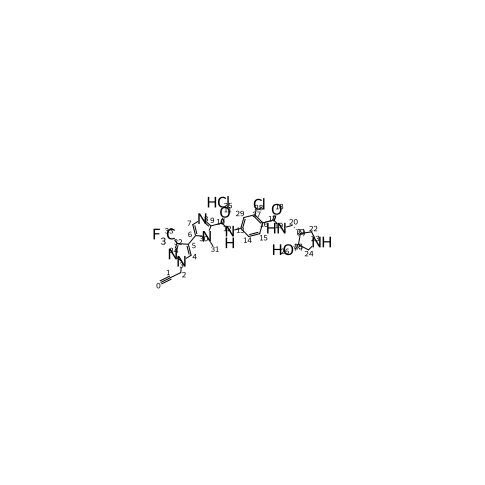 C#CCn1cc(-c2cnc(C(=O)Nc3ccc(C(=O)NC[C@@H]4CNC[C@@H]4O)c(Cl)c3)n2C)c(C(F)(F)F)n1.Cl